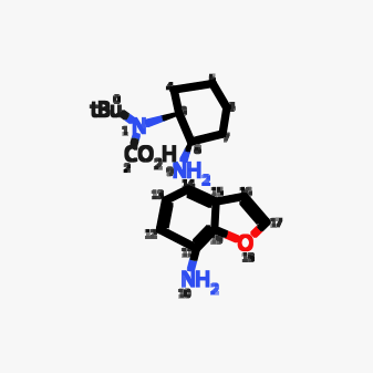 CC(C)(C)N(C(=O)O)[C@H]1CCCC[C@H]1N.Nc1cccc2ccoc12